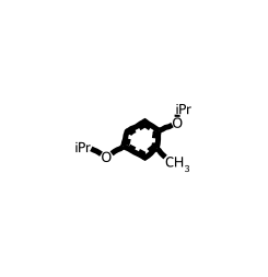 Cc1cc(OC(C)C)ccc1OC(C)C